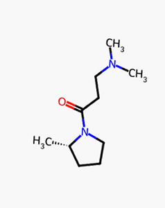 C[C@H]1CCCN1C(=O)CCN(C)C